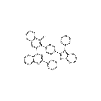 O=c1c2ccccc2nc(-c2nc(-c3ccccc3)nc3ccccc23)n1-c1ccc(-c2nc3ccccc3n2-c2ccccc2)cc1